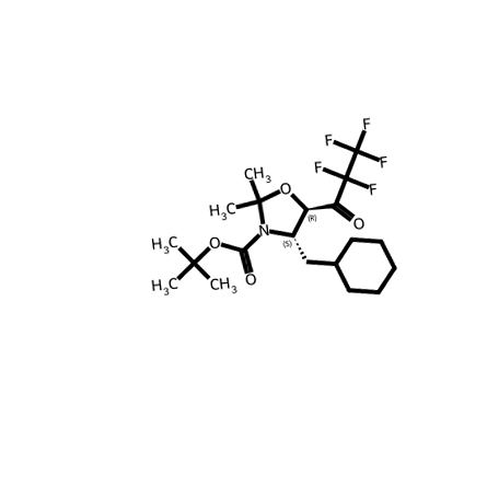 CC(C)(C)OC(=O)N1[C@@H](CC2CCCCC2)[C@H](C(=O)C(F)(F)C(F)(F)F)OC1(C)C